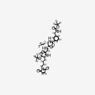 CSCC[C@H](NC(=O)c1cccc(CNC(=O)OC(C)(C)C)c1)C(=O)NCC(=O)N[C@@H](CCCCN1C(=O)C=CC1=O)C(=O)OC(C)(C)C